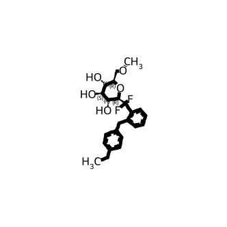 CCc1ccc(Cc2ccccc2C(F)(F)[C@@H]2O[C@H](COC)[C@@H](O)[C@H](O)[C@H]2O)cc1